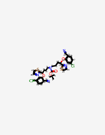 CC(C)(C)OC(=O)N(CCCC(Oc1cc(Cl)ccc1C#N)c1nccs1)CCCC(Oc1cc(Cl)ccc1C#N)c1nccs1